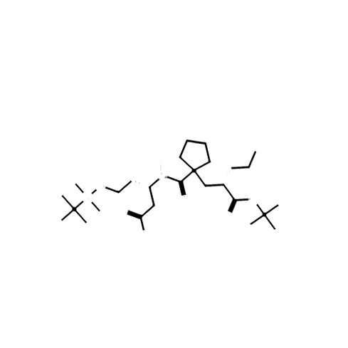 CCC[C@@H](CC1(C(=O)N[C@@H](CCO[Si](C)(C)C(C)(C)C)CC(=O)O)CCCC1)C(=O)OC(C)(C)C